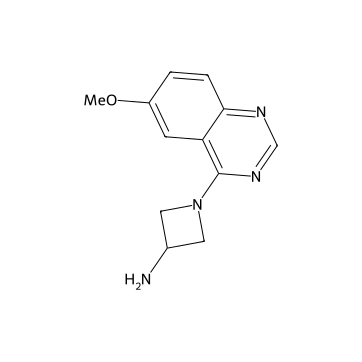 COc1ccc2ncnc(N3CC(N)C3)c2c1